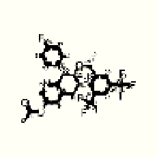 CC(=O)Oc1cnc2c(c1)CC[C@H](O[C@H](C)c1cc(C(F)(F)F)cc(C(F)(F)F)c1)[C@H]2c1ccc(F)cc1